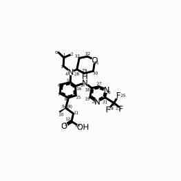 CC(C)CN(c1ccc([C@H](C)CC(=O)O)cc1Nc1cnc(C(F)(F)F)nc1)C1CCOCC1